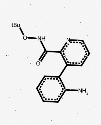 CC(C)(C)ONC(=O)c1ncccc1-c1ccccc1N